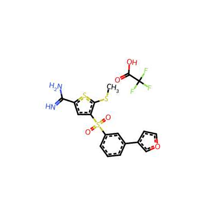 CSc1sc(C(=N)N)cc1S(=O)(=O)c1cccc(-c2ccoc2)c1.O=C(O)C(F)(F)F